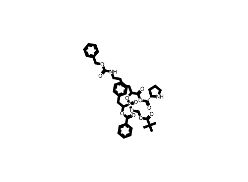 CC(C)(C)C(=O)OCOP(=O)(OC(CCCCNC(=O)OCc1ccccc1)C(=O)OC(=O)[C@@H]1CCCN1)C(Cc1ccccc1)OC(=O)c1ccccc1